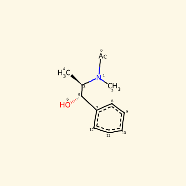 CC(=O)N(C)[C@H](C)[C@@H](O)c1ccccc1